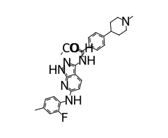 CC(=O)O.Cc1ccc(Nc2ccc3c(NC(=O)c4ccc(C5CCN(C)CC5)cc4)n[nH]c3n2)c(F)c1